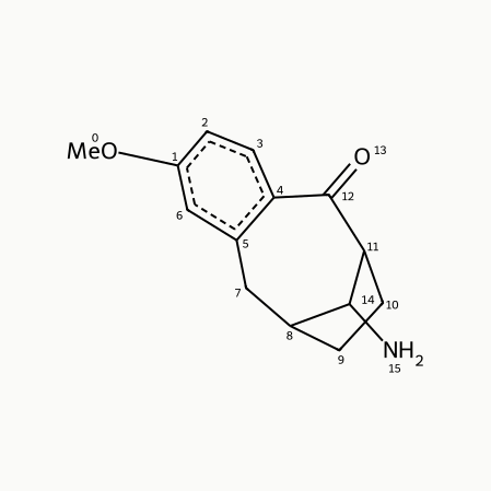 COc1ccc2c(c1)CC1CCC(C2=O)C1N